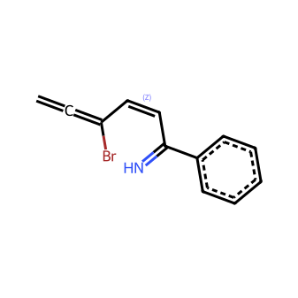 C=C=C(Br)/C=C\C(=N)c1ccccc1